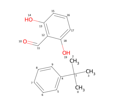 CC(C)(C)c1ccccc1.O=Cc1c(O)cccc1O